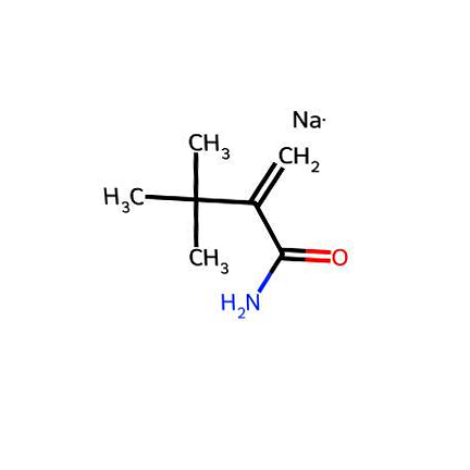 C=C(C(N)=O)C(C)(C)C.[Na]